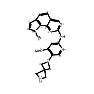 COc1cc(Nc2ncc3ccc4ccn(C(C)C)c4c3n2)ncc1N1CC2(CNC2)C1